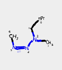 CCCCN(C)/N=N\C